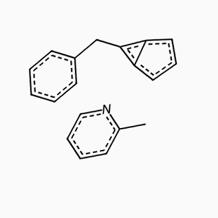 Cc1ccccn1.c1ccc(Cc2c3cccc2-3)cc1